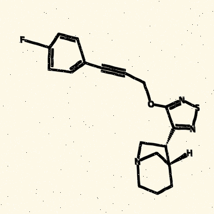 Fc1ccc(C#CCOc2nsnc2[C@H]2CN3CCC[C@@H]2C3)cc1